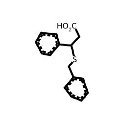 O=C(O)CC(SCc1ccccc1)c1ccccc1